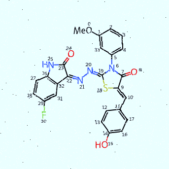 COc1cccc(N2C(=O)C(=Cc3ccc(O)cc3)SC2=NN=C2C(=O)Nc3ccc(F)cc32)c1